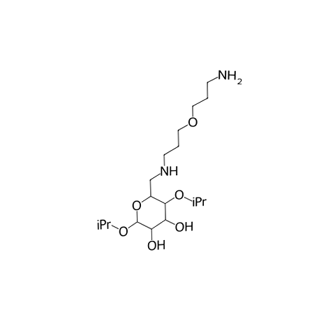 CC(C)OC1OC(CNCCCOCCCN)C(OC(C)C)C(O)C1O